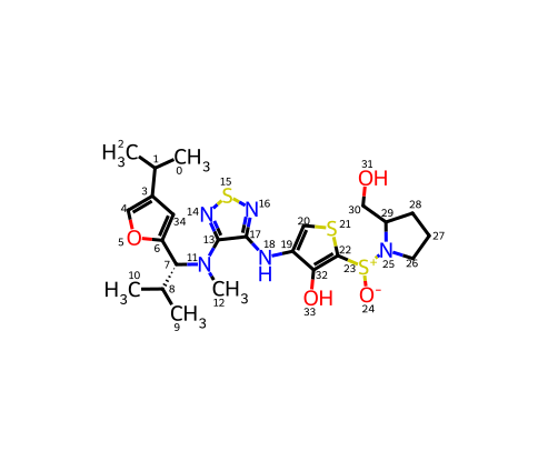 CC(C)c1coc([C@@H](C(C)C)N(C)c2nsnc2Nc2csc([S+]([O-])N3CCCC3CO)c2O)c1